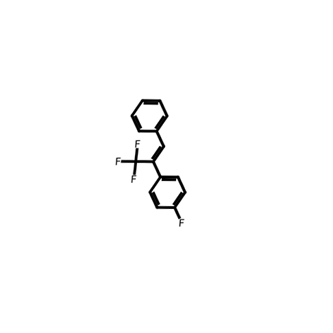 Fc1ccc(C(=Cc2ccccc2)C(F)(F)F)cc1